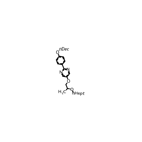 CCCCCCCCCCOc1ccc(-c2ncc(OCC(C)OCCCCCCC)cn2)cc1